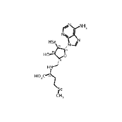 C[Se]CC[C@H](NC[C@H]1O[C@@H](n2cnc3c(N)ncnc32)[C@H]([SeH])[C@@H]1O)C(=O)O